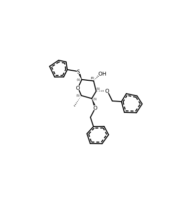 C[C@@H]1O[C@@H](Sc2ccccc2)[C@H](O)[C@H](OCc2ccccc2)[C@H]1OCc1ccccc1